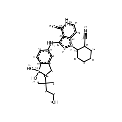 CC(C)(CCO)N1Cc2cc(Nc3nn(C4CCCCC4C#N)c4cc[nH]c(=O)c34)ccc2S1(O)O